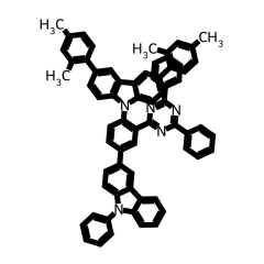 Cc1ccc(-c2ccc3c(c2)c2cc(-c4ccc(C)cc4C)ccc2n3-c2ccc(-c3ccc4c(c3)c3ccccc3n4-c3ccccc3)cc2-c2nc(-c3ccccc3)nc(-c3ccccc3)n2)c(C)c1